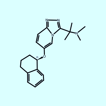 CN(C)C(C)(C)c1nnc2ccc(O[C@@H]3CCCc4ccccc43)cn12